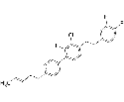 C/C=C/CCc1ccc(-c2ccc(CCc3ccc(F)c(F)c3)c(Cl)c2F)cc1